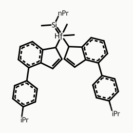 CCC[Si](C)=[Hf]([CH3])([CH3])([CH]1C=Cc2c(-c3ccc(C(C)C)cc3)cccc21)[CH]1C=Cc2c(-c3ccc(C(C)C)cc3)cccc21